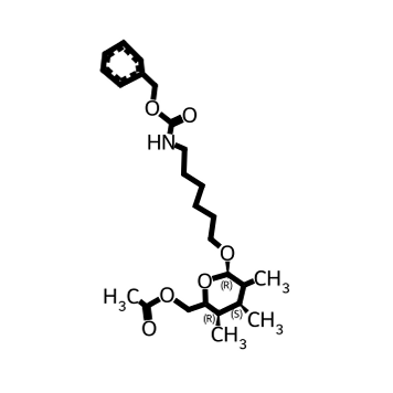 CC(=O)OCC1O[C@@H](OCCCCCCNC(=O)OCc2ccccc2)C(C)[C@@H](C)[C@H]1C